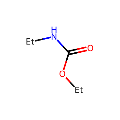 CCNC(=O)OCC